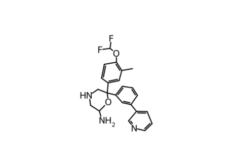 Cc1cc(C2(c3cccc(-c4cccnc4)c3)CNCC(N)O2)ccc1OC(F)F